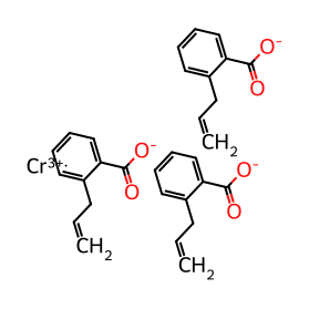 C=CCc1ccccc1C(=O)[O-].C=CCc1ccccc1C(=O)[O-].C=CCc1ccccc1C(=O)[O-].[Cr+3]